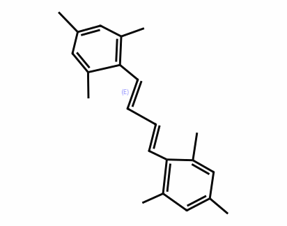 Cc1cc(C)c(C=C/C=C/c2c(C)cc(C)cc2C)c(C)c1